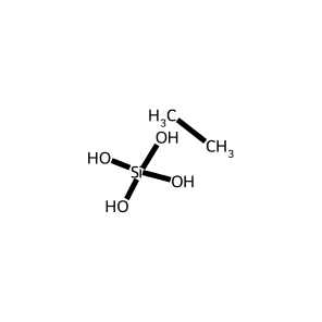 CC.O[Si](O)(O)O